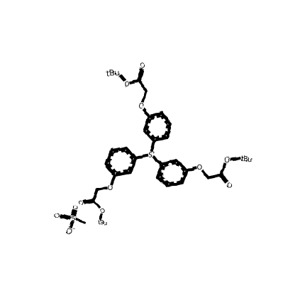 CC(C)(C)OC(=O)COc1cccc([S+](c2cccc(OCC(=O)OC(C)(C)C)c2)c2cccc(OCC(=O)OC(C)(C)C)c2)c1.CS(=O)(=O)[O-]